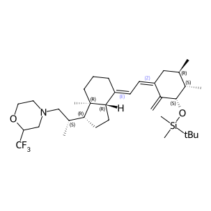 C=C1/C(=C\C=C2/CCC[C@]3(C)[C@@H]([C@H](C)CN4CCOC(C(F)(F)F)C4)CC[C@@H]23)C[C@@H](C)[C@H](C)[C@@H]1O[Si](C)(C)C(C)(C)C